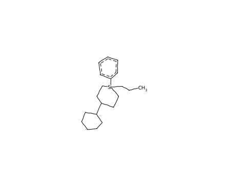 CCC[Si]1(c2ccccc2)CCC(C2CC[CH]CC2)CC1